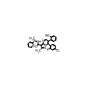 Cc1nn2c(-c3ccc(Cl)cc3F)c(-c3ccccc3C#N)cnc2c1C(=O)NN(C)c1ccccn1